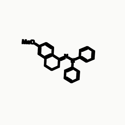 COc1ccc2c(c1)CCCC2=NN(c1ccccc1)c1ccccc1